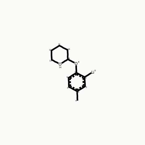 [Li][c]1cc(C)ccc1OC1CCCCO1